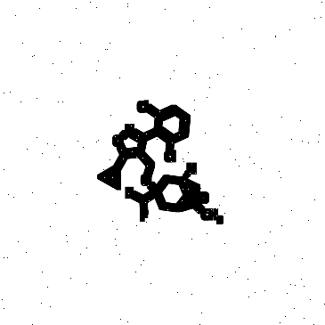 CC1C[C@@H]2CC(OCc3c(-c4c(Cl)cccc4Cl)noc3C3CC3)(C(F)F)CC1C2=O